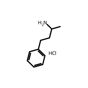 CC(N)CCc1ccccc1.Cl